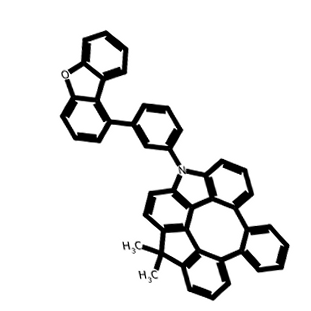 CC1(C)c2cccc3c4ccccc4c4cccc5c4c4c(c1ccc4n5-c1cccc(-c4cccc5oc6ccccc6c45)c1)c23